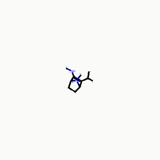 CNC1=C(C(C)C)C2CCC1N2C